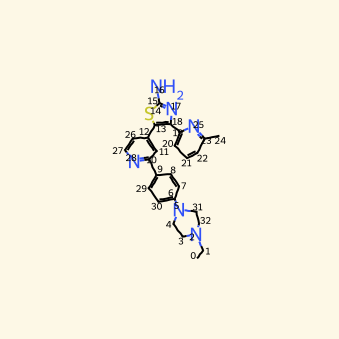 CCN1CCN(c2ccc(-c3cc(-c4sc(N)nc4-c4cccc(C)n4)ccn3)cc2)CC1